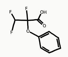 O=C(O)C(F)(Oc1ccccc1)C(F)F